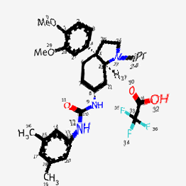 COc1ccc([C@@]23CC[C@@H](NC(=O)Nc4cc(C)cc(C)c4)C[C@@H]2N(C(C)C)CC3)cc1OC.O=C(O)C(F)(F)F